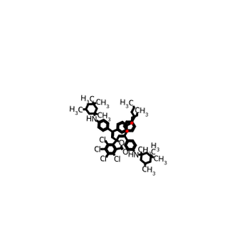 CCCCc1ccc(C(=CC2(C=C(c3ccc(CCCC)cc3)c3ccc(NC4(C)CC(C)CC(C)(C)C4)cc3)OC(=O)c3c(Cl)c(Cl)c(Cl)c(Cl)c32)c2ccc(NC3(C)CC(C)CC(C)(C)C3)cc2)cc1